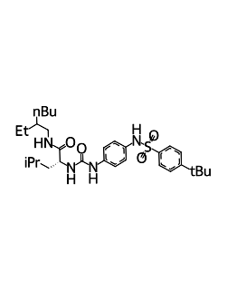 CCCCC(CC)CNC(=O)[C@@H](CC(C)C)NC(=O)Nc1ccc(NS(=O)(=O)c2ccc(C(C)(C)C)cc2)cc1